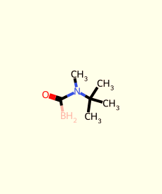 BC(=O)N(C)C(C)(C)C